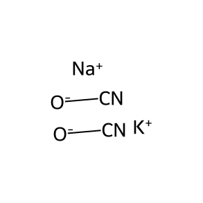 N#C[O-].N#C[O-].[K+].[Na+]